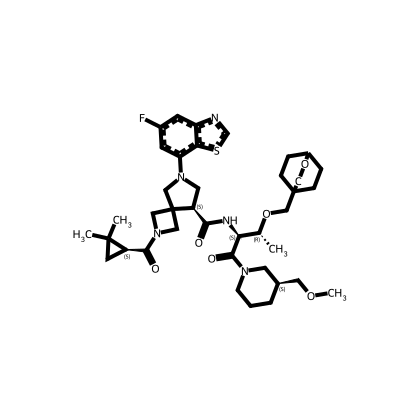 COC[C@H]1CCCN(C(=O)[C@@H](NC(=O)[C@@H]2CN(c3cc(F)cc4ncsc34)CC23CN(C(=O)[C@H]2CC2(C)C)C3)[C@@H](C)OCC23CCC(CC2)OC3)C1